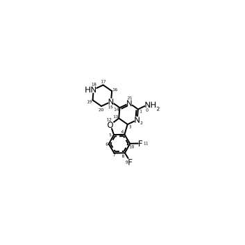 NC1=NC2c3c(ccc(F)c3F)OC2C(N2CCNCC2)=N1